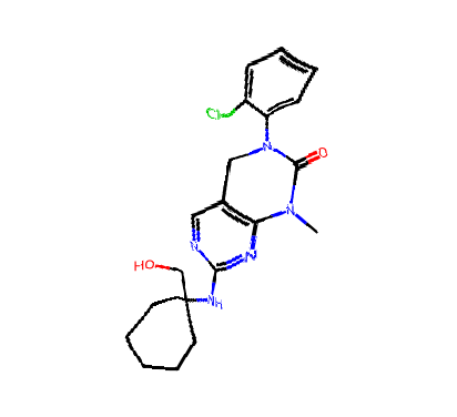 CN1C(=O)N(c2ccccc2Cl)Cc2cnc(NC3(CO)CCCCC3)nc21